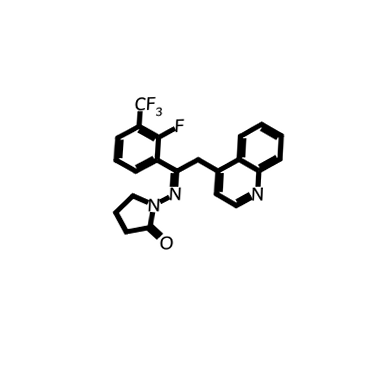 O=C1CCCN1N=C(Cc1ccnc2ccccc12)c1cccc(C(F)(F)F)c1F